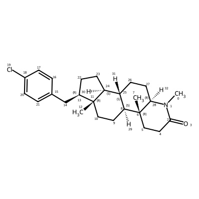 CN1C(=O)CC[C@]2(C)[C@H]3CC[C@]4(C)[C@@H](Cc5ccc(Cl)cc5)CC[C@H]4[C@@H]3CC[C@@H]12